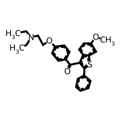 CCN(CC)CCOc1ccc(C(=O)c2c(-c3ccccc3)sc3cc(OC)ccc23)cc1